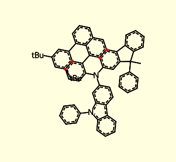 CC(C)(C)c1cc(-c2cccc3cccc(-c4ccccc4N(c4ccc5c(c4)C(C)(c4ccccc4)c4ccccc4-5)c4ccc5c6ccccc6n(-c6ccccc6)c5c4)c23)cc(C(C)(C)C)c1